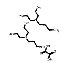 CCCCN(CCO)CCO.CCCCN(CCO)CCO.O=C(O)C(=O)O